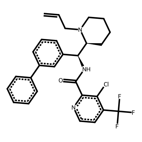 C=CCN1CCCC[C@H]1[C@@H](NC(=O)c1nccc(C(F)(F)F)c1Cl)c1cccc(-c2ccccc2)c1